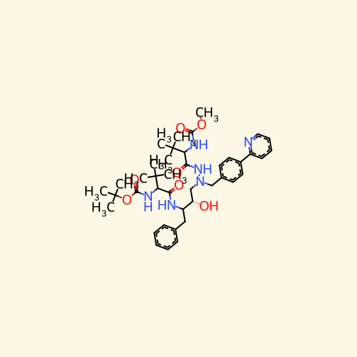 COC(=O)NC(C(=O)NN(Cc1ccc(-c2ccccn2)cc1)C[C@H](O)C(Cc1ccccc1)NC(=O)C(NC(=O)OC(C)(C)C)C(C)(C)C)C(C)(C)C